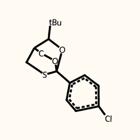 CC(C)(C)C1OC2(c3ccc(Cl)cc3)OCC1CS2